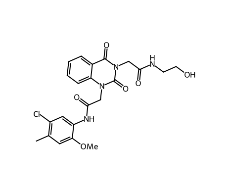 COc1cc(C)c(Cl)cc1NC(=O)Cn1c(=O)n(CC(=O)NCCO)c(=O)c2ccccc21